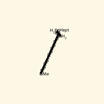 C=C(CCCCCCC)C(=O)OC(CN)COCOCCOCCOCCOCCOCCOCCCCOCCOCCOCCOCCOC